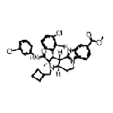 COC(=O)c1ccc2c(c1)nc1n2CC[C@H]2[C@@H]1[C@H](c1cccc(Cl)c1F)[C@](C)(C(=O)Nc1cccc(Cl)c1)N2CC1CCC1